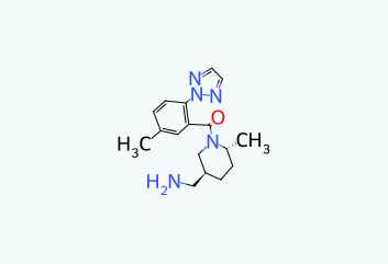 Cc1ccc(-n2nccn2)c(C(=O)N2C[C@H](CN)CC[C@H]2C)c1